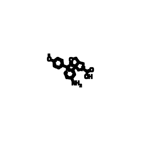 COc1ccc(CN2OCC3CN(C(=O)O)CC32c2cc(N)ccn2)cc1